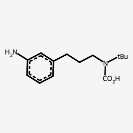 CC(C)(C)N(CCCc1cccc(N)c1)C(=O)O